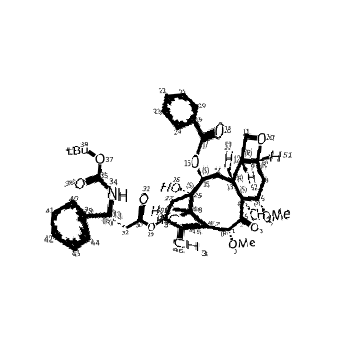 CO[C@H]1C(=O)[C@]2(C)[C@@H](OC)C[C@H]3OC[C@H]3[C@H]2C[C@H](OC(=O)c2ccccc2)[C@]2(O)C[C@H](OC(=O)C[C@@H](NC(=O)OC(C)(C)C)c3ccccc3)C(C)=C1C2(C)C